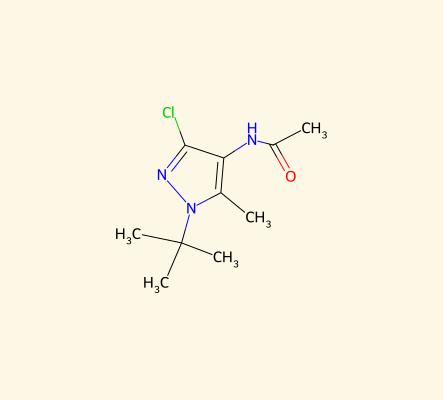 CC(=O)Nc1c(Cl)nn(C(C)(C)C)c1C